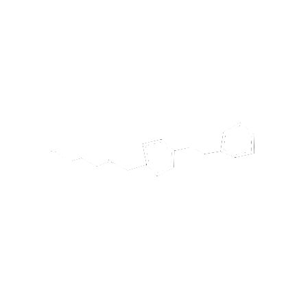 CC(C)(C)OCCNCc1ccc(OCc2ccccc2)cc1